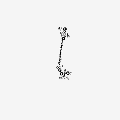 CCCC(NC(=O)/C(C#N)=C/c1cc(C)no1)c1ccc(OCCOCCOCCOCCOCCOCCOCCNC(=O)c2ccc(-c3ccc4c(c3)[C@H](Nc3ccc(Cl)cc3)C[C@H](C)N4C(C)=O)cc2)cc1